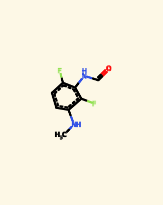 CNc1ccc(F)c(NC=O)c1F